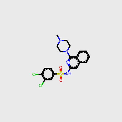 CN1CCN(c2nc(NS(=O)(=O)c3ccc(Cl)c(Cl)c3)cc3ccccc23)CC1